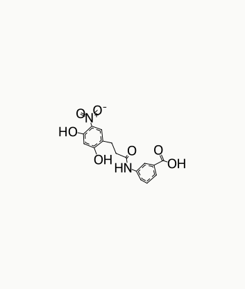 O=C(CCc1cc([N+](=O)[O-])c(O)cc1O)Nc1cccc(C(=O)O)c1